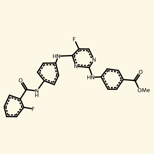 COC(=O)c1ccc(Nc2ncc(F)c(Nc3ccc(NC(=O)c4ccccc4F)cc3)n2)cc1